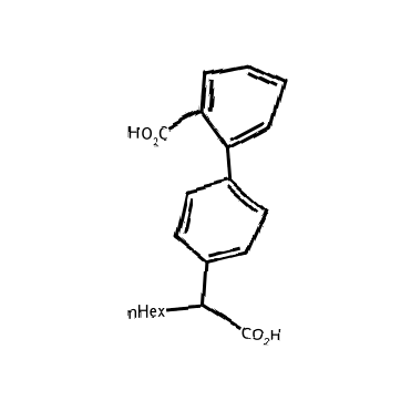 CCCCCCC(C(=O)O)c1ccc(-c2ccccc2C(=O)O)cc1